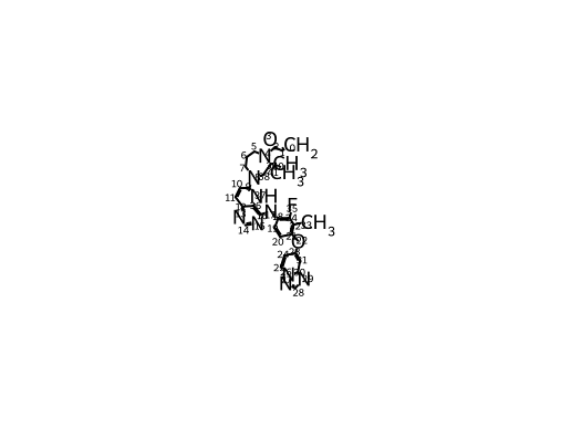 C=CC(=O)N1CCCN(c2ccc3ncnc(Nc4ccc(Oc5ccn6ncnc6c5)c(C)c4F)c3n2)CC1(C)C